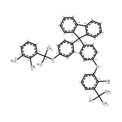 CCC(C)(C)c1cccc(Oc2ccc(C3(c4ccc(OC(C)(C)c5cccc(C)c5C#N)cc4)c4ccccc4-c4ccccc43)cc2)c1C#N